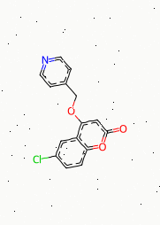 O=c1cc(OCc2ccncc2)c2cc(Cl)ccc2o1